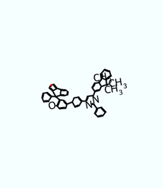 CC1(C)c2ccccc2C2(C)C=CC(c3cc(C4=CCC(c5ccc6c(c5)C5(c7ccccc7O6)c6ccccc6-c6ccccc65)C=C4)nc(-c4ccccc4)n3)=CC12